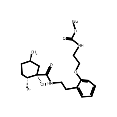 CC(C)[C@@H]1CC[C@@H](C)C[C@@]1(O)C(=O)NCCc1ccccc1OCCNC(=O)OC(C)(C)C